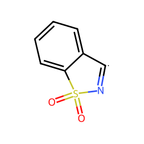 O=S1(=O)N=[C]c2ccccc21